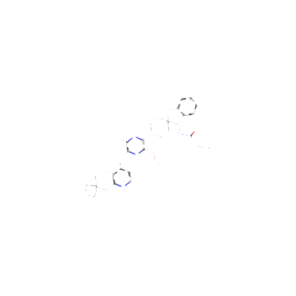 Cc1nc(N2CCC3(CC2)Oc2ccccc2[C@H]3NC(=O)OC(C)(C)C)c(CO)nc1Sc1ccnc2c1OCC1(COC1)N2